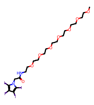 COCCOCCOCCOCCOCCOCCOCCNC(=O)Cn1c(I)c(I)c(I)c1I